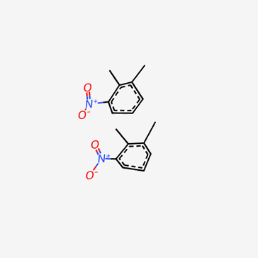 Cc1cccc([N+](=O)[O-])c1C.Cc1cccc([N+](=O)[O-])c1C